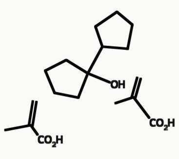 C=C(C)C(=O)O.C=C(C)C(=O)O.OC1(C2CCCC2)CCCC1